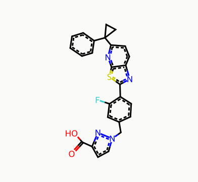 O=C(O)c1ccn(Cc2ccc(-c3nc4ccc(C5(c6ccccc6)CC5)nc4s3)c(F)c2)n1